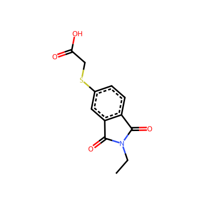 CCN1C(=O)c2ccc(SCC(=O)O)cc2C1=O